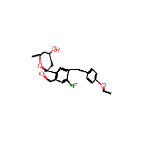 CCOc1ccc(Cc2cc3c(cc2F)CO[C@@]32CC(O)CC(C)O2)cc1